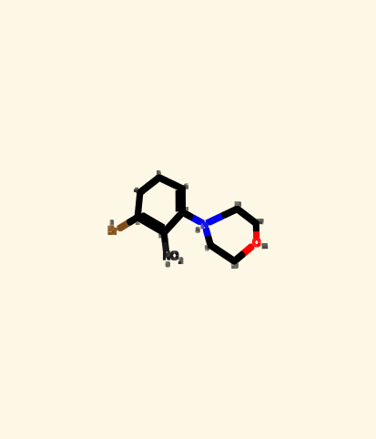 O=[N+]([O-])C1=C(Br)[CH]CC=C1N1CCOCC1